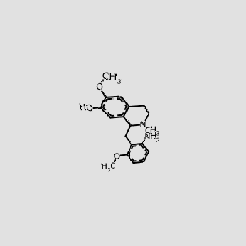 COc1cc2c(cc1O)C(Cc1c(N)cccc1OC)N(C)CC2